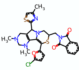 Cc1csc(C2C3=C(C4=C(c5ccc(Cl)o5)SC(CN5C(=O)c6ccccc6C5=O)CN42)N(C)CN(C)C3)n1